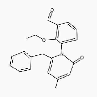 CCOc1c(C=O)cccc1-n1c(Cc2ccccc2)nc(C)cc1=O